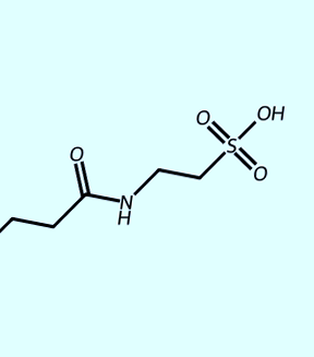 CCCC(=O)NCCS(=O)(=O)O